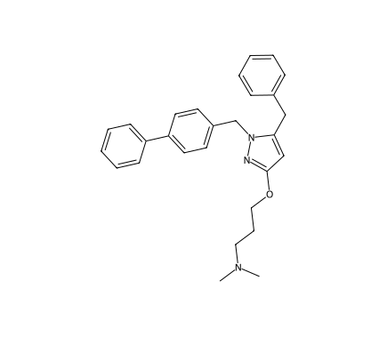 CN(C)CCCOc1cc(Cc2ccccc2)n(Cc2ccc(-c3ccccc3)cc2)n1